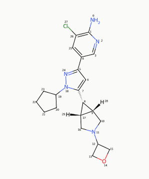 Nc1ncc(-c2cc([C@@H]3[C@@H]4CN(C5COC5)C[C@@H]43)n(C3CCCC3)n2)cc1Cl